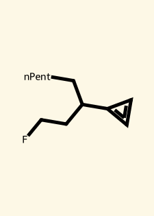 CCCCCCC(CCF)C1=C=C1